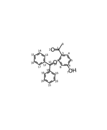 CC(=O)c1ccc(O)cc1.O=C(c1ccccc1)c1ccccc1